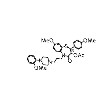 COc1ccc([C@@H]2Sc3cc(OC)ccc3N(CCCN3CCN(c4ccccc4OC)CC3)C(=O)C2OC(C)=O)cc1